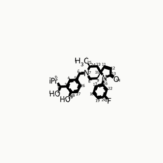 CC(C)C(O)c1cc(CN2CC[C@]3(C=CC(=O)N3c3cccc(F)c3)C[C@@H]2C)ccc1O